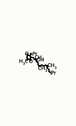 CCCC1=C(CC[C@](C)(O)CCC[C@H](C)CCC[C@H](C)CCCC(C)C)C(=O)C(C)=CC1=O